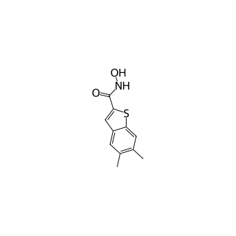 Cc1cc2cc(C(=O)NO)sc2cc1C